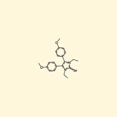 CCn1c(-c2ccc(OC)cc2)c(-c2ccc(OC)cc2)n(CC)c1=[Se]